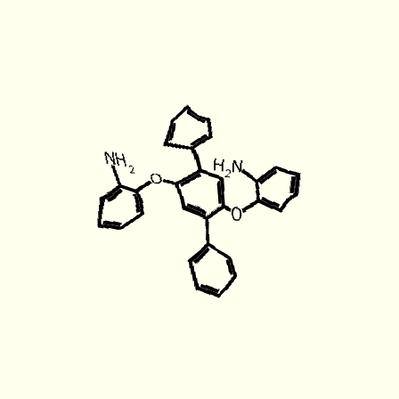 Nc1ccccc1Oc1cc(-c2ccccc2)c(Oc2ccccc2N)cc1-c1ccccc1